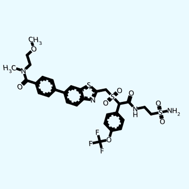 COCCN(C)C(=O)c1ccc(-c2ccc3nc(CS(=O)(=O)C(C(=O)NCCS(N)(=O)=O)c4ccc(OC(F)(F)F)cc4)sc3c2)cc1